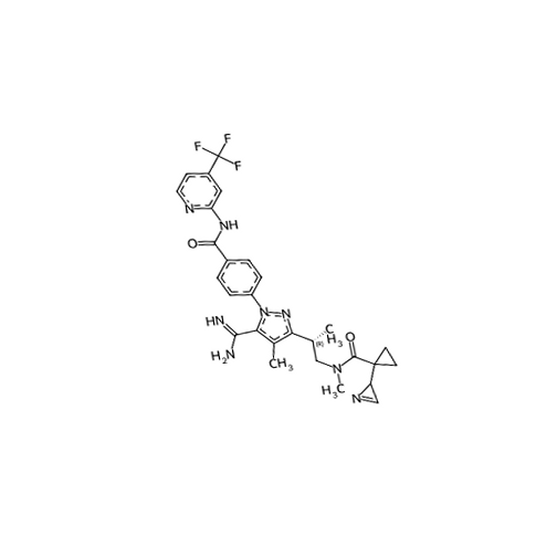 Cc1c([C@H](C)CN(C)C(=O)C2(C3C=N3)CC2)nn(-c2ccc(C(=O)Nc3cc(C(F)(F)F)ccn3)cc2)c1C(=N)N